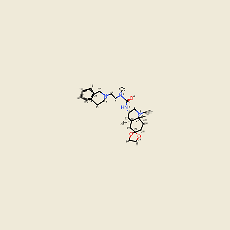 CCCN1C[C@@H](NC(=O)N(CC)CCN2CCc3ccccc3C2)C[C@@H]2CC3(CC[C@H]21)OCCO3